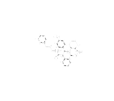 O=C(NCCCc1ccccc1)[C@@H]1c2ccccc2C(=O)N([C@H]2CCCC[C@@H]2O)[C@H]1c1ccc(Cl)cc1